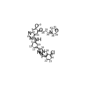 COc1cc2ncnc(Nc3cccc(-c4cn(Cc5c(F)cccc5Cl)nn4)c3)c2cc1OCCCN1CCOCC1